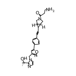 C[C@H](O)c1nccn1Cc1cc(-c2ccc(C#CC3[C@H]4CN(C(=O)CCN)C[C@@H]34)cc2)on1